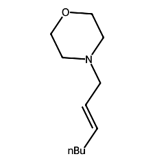 CCCCC=CCN1CCOCC1